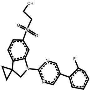 O=S(=O)(CCO)c1ccc2c(c1)N(c1ncc(-c3ccccc3F)cn1)CC21CC1